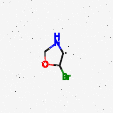 BrC1[CH]NCO1